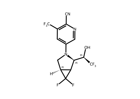 N#Cc1ncc(N2C[C@H]3C([C@@H]2[C@@H](O)C(F)(F)F)C3(F)F)cc1C(F)(F)F